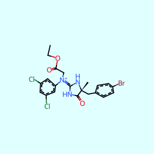 CCOC(=O)C[N+](=C1NC(=O)[C@@](C)(Cc2ccc(Br)cc2)N1)c1cc(Cl)cc(Cl)c1